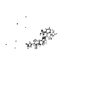 O=C(Nc1ccc2[nH]c(NC(=O)C3(c4cccc(C(F)(F)F)c4)CCC3)nc2c1)c1cscn1